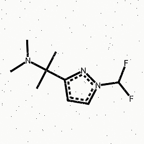 CN(C)C(C)(C)c1ccn(C(F)F)n1